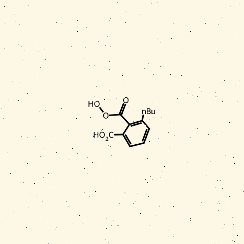 CCCCc1cccc(C(=O)O)c1C(=O)OO